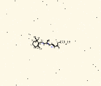 CCOC(=O)CC(C)/C=C/C=C(C)/C=C/C1=C(C)CCCC1(C)C